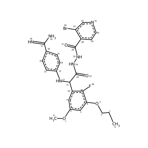 CCCOc1cc(OC)cc(C(Nc2ccc(C(=N)N)cc2)C(=O)NNC(=O)c2ccncc2Br)c1F